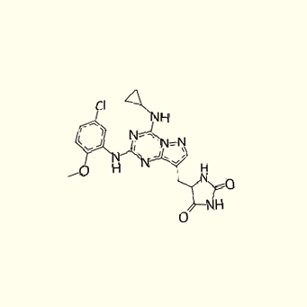 COc1ccc(Cl)cc1Nc1nc(NC2CC2)n2ncc(CC3NC(=O)NC3=O)c2n1